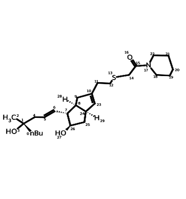 CCCC[C@](C)(O)C/C=C/[C@@H]1[C@H]2CC(CCSCC(=O)N3CCCCC3)=C[C@H]2C[C@H]1O